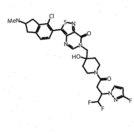 CNC1Cc2ccc(-c3snc4c(=O)n(CC5(O)CCN(C(=O)CC(C(F)F)n6ccc(F)n6)CC5)cnc34)c(Cl)c2C1